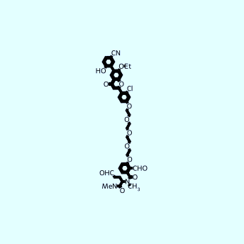 CCOc1cc2oc(-c3ccc(OCCOCCOCCOCCOc4cccc(C(=O)N(C)C(CCC=O)C(=O)NC)c4C=O)cc3Cl)cc(=O)c2cc1-c1cc(C#N)ccc1O